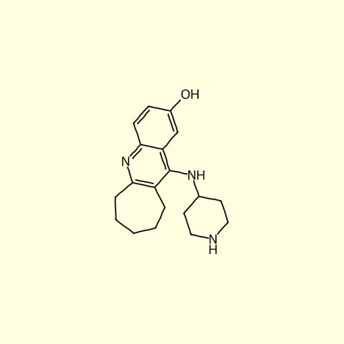 Oc1ccc2nc3c(c(NC4CCNCC4)c2c1)CCCCC3